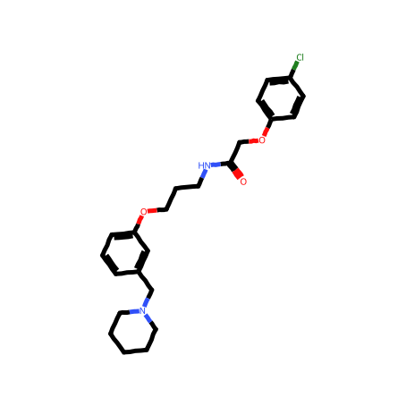 O=C(COc1ccc(Cl)cc1)NCCCOc1cccc(CN2CCCCC2)c1